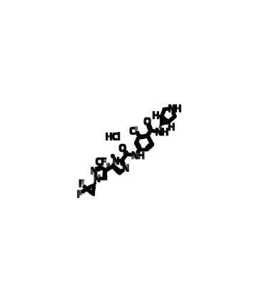 Cl.Cn1c(-c2cn([C@@H]3CC3(F)F)nc2C(F)(F)F)cnc1C(=O)Nc1ccc(C(=O)N[C@@H]2[C@@H]3CNC[C@@H]32)c(Cl)c1